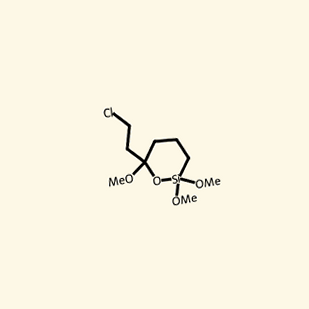 COC1(CCCl)CCC[Si](OC)(OC)O1